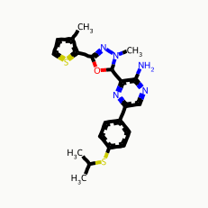 Cc1ccsc1C1=NN(C)C(c2nc(-c3ccc(SC(C)C)cc3)cnc2N)O1